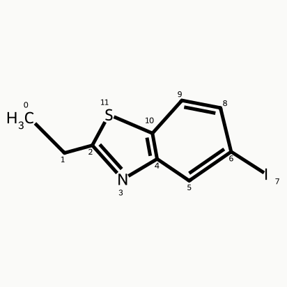 CCc1nc2cc(I)ccc2s1